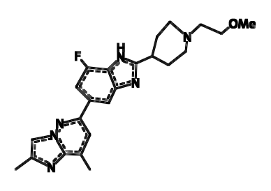 COCCN1CCC(c2nc3cc(-c4cc(C)c5nc(C)cn5n4)cc(F)c3[nH]2)CC1